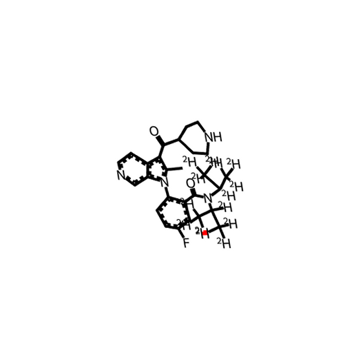 [2H]C([2H])([2H])C([2H])(N(C(=O)c1cc(F)ccc1-n1c(C)c(C(=O)C2CCNCC2)c2ccncc21)C([2H])(C([2H])([2H])[2H])C([2H])([2H])[2H])C([2H])([2H])[2H]